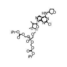 CC(C)OC(=O)OCOP(=O)(COC[C@H]1O[C@@H](n2ncc3c(N[C@H]4CCOC4)nc(Cl)nc32)[C@H](C)[C@@H]1C)OCOC(=O)OC(C)C